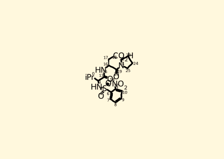 CC(C)C(NS(=O)(=O)c1ccccc1[N+](=O)[O-])C(=O)N[C@@H](CC(=O)O)C(=O)N1CCCC1